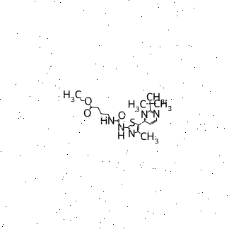 CCOC(=O)CCCNC(=O)Nc1nc(C)c(-c2ccnc(C(C)(C)C)n2)s1